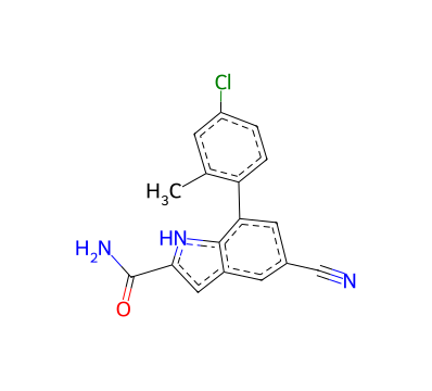 Cc1cc(Cl)ccc1-c1cc(C#N)cc2cc(C(N)=O)[nH]c12